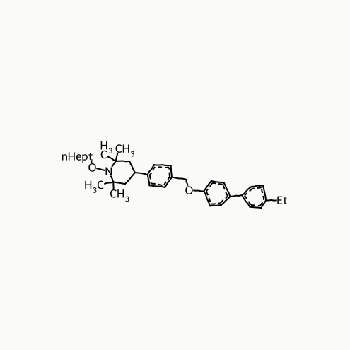 CCCCCCCON1C(C)(C)CC(c2ccc(COc3ccc(-c4ccc(CC)cc4)cc3)cc2)CC1(C)C